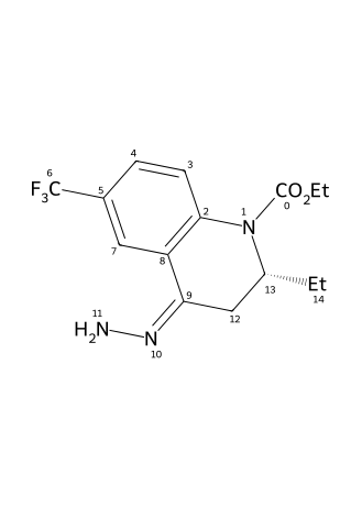 CCOC(=O)N1c2ccc(C(F)(F)F)cc2/C(=N\N)C[C@H]1CC